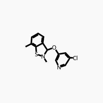 Cc1cccc2c1SN(C)C2Oc1cncc(Cl)c1